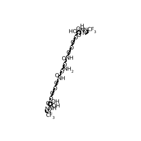 NC(COCCC(=O)NCCOCCOCCOCCOCC1OC[C@H](Nc2nccc(C(F)(F)F)n2)[C@@H](O)[C@H]1O)COCCC(=O)NCCOCCOCCOCCOC[C@H]1OC[C@H](Nc2nccc(C(F)(F)F)n2)[C@@H](O)[C@H]1O